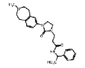 CN1CCc2ccc(N3CCN(CCC(=O)NC(C(=O)O)c4ccccc4)C3=O)cc2CC1